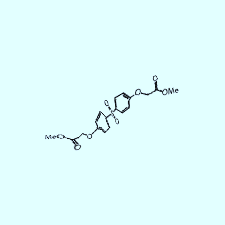 COC(=O)COc1ccc(S(=O)(=O)c2ccc(OCC(=O)OC)cc2)cc1